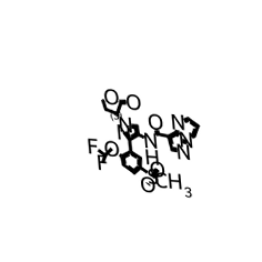 CS(=O)(=O)c1ccc(OC(F)F)c(-c2nn([C@H]3CCOC3=O)cc2NC(=O)c2cnn3cccnc23)c1